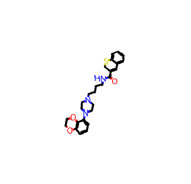 O=C(NCCCCN1CCN(c2cccc3c2OCCO3)CC1)C1=Cc2ccccc2SC1